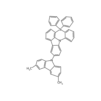 Cc1ccc2c(c1)c1cc(C)ccc1n2-c1ccc2c(c1)c1cccc3c1n2-c1ccccc1[Si]3(c1ccccc1)c1ccccc1